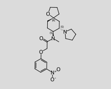 CN(C(=O)COc1cccc([N+](=O)[O-])c1)[C@H]1CC[C@@]2(CCCO2)C[C@@H]1N1CCCC1